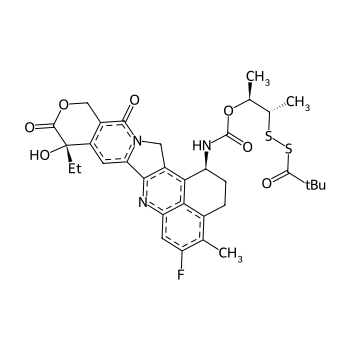 CC[C@@]1(O)C(=O)OCc2c1cc1n(c2=O)Cc2c-1nc1cc(F)c(C)c3c1c2[C@@H](NC(=O)O[C@@H](C)[C@H](C)SSC(=O)C(C)(C)C)CC3